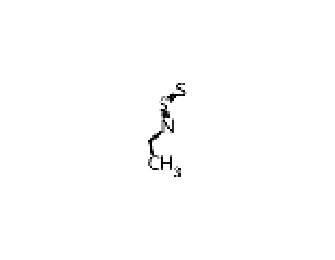 CCN=S=S